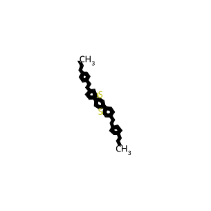 CCCCc1ccc(CCc2ccc3c(c2)sc2cc4c(cc23)sc2cc(CCc3ccc(CCCC)cc3)ccc24)cc1